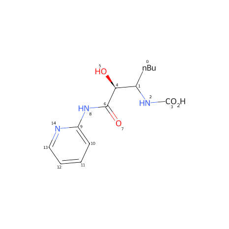 CCCCC(NC(=O)O)[C@H](O)C(=O)Nc1ccccn1